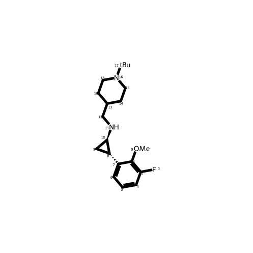 COc1c(F)cccc1[C@@H]1C[C@H]1NCC1CCN(C(C)(C)C)CC1